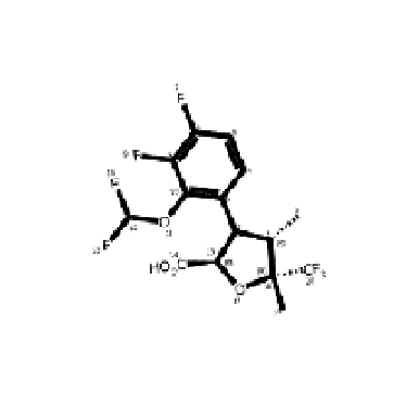 C[C@H]1C(c2ccc(F)c(F)c2OC(F)F)[C@H](C(=O)O)O[C@@]1(C)C(F)(F)F